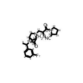 CC(c1cccc(F)c1)N1C(=O)C2CC1CN2CC(N)C(=O)N1CCCC1C#N